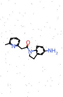 Cc1cccc(CC(=O)N2CCc3cc(N)ccc32)n1